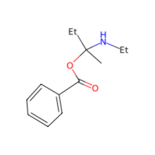 CCNC(C)(CC)OC(=O)c1ccccc1